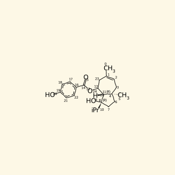 CC1=CC[C@@]2(C)CC[C@@](O)(C(C)C)[C@@H]2C(OC(=O)c2ccc(O)cc2)C1